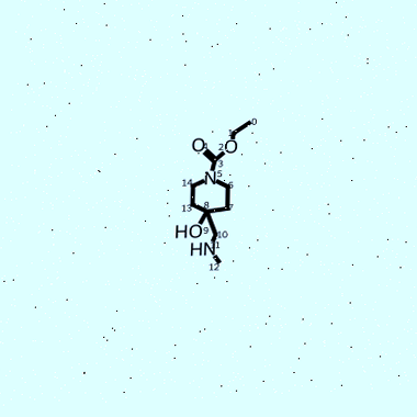 CCOC(=O)N1CCC(O)(CNC)CC1